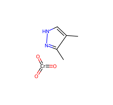 Cc1c[nH]nc1C.[O]=[Cr](=[O])=[O]